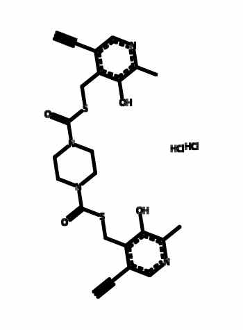 C#Cc1cnc(C)c(O)c1CSC(=O)N1CCN(C(=O)SCc2c(C#C)cnc(C)c2O)CC1.Cl.Cl